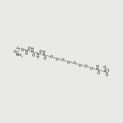 NC(=O)CC1(COCNC(=O)CNC(=O)CNC(=O)CNC(=O)CCOCCOCCOCCOCCOCCOCCOCCOCCNC(=O)CCN2C(=O)C=CC2=O)CC1